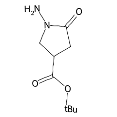 CC(C)(C)OC(=O)C1CC(=O)N(N)C1